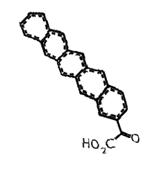 O=C(O)C(=O)c1ccc2cc3cc4cc5ccccc5cc4cc3cc2c1